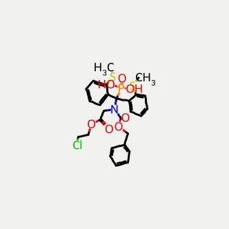 CSc1ccccc1C(c1ccccc1SC)(N(CC(=O)OCCCl)C(=O)OCc1ccccc1)P(=O)(O)O